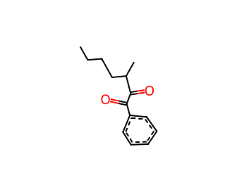 CCCCC(C)C(=O)C(=O)c1ccccc1